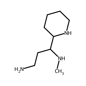 CNC(CCN)C1CCCCN1